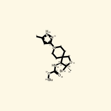 Cc1cc(N2CCC3(CC2)CO[C@@](C)(Br)[C@H]3NC(=O)OC(C)(C)C)n[nH]1